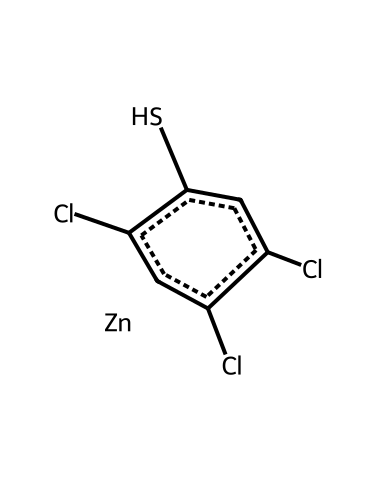 Sc1cc(Cl)c(Cl)cc1Cl.[Zn]